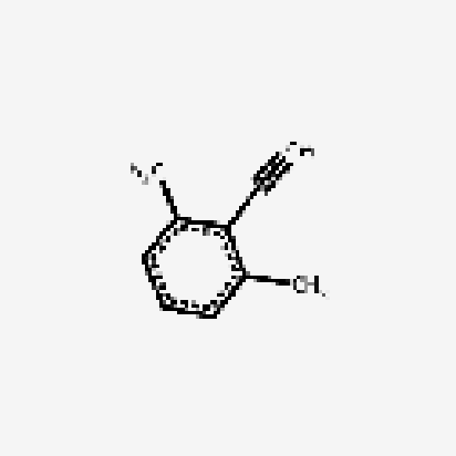 C#Cc1c(C)[c]ccc1C